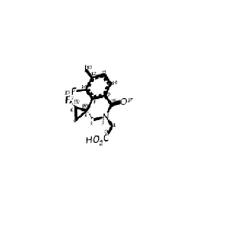 O=C(O)CN1C[C@@]2(C[C@@H]2F)c2c(ccc(I)c2F)C1=O